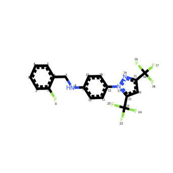 Fc1ccccc1CNc1ccc(-n2nc(C(F)(F)F)cc2C(F)(F)F)cc1